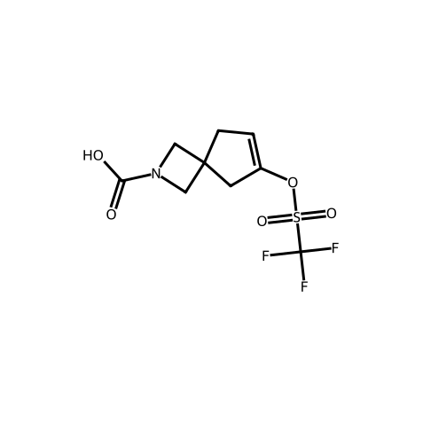 O=C(O)N1CC2(CC=C(OS(=O)(=O)C(F)(F)F)C2)C1